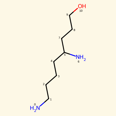 NCCCCC(N)CCCO